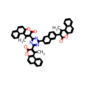 Cc1c(-c2ccc3cc(-c4nc(-c5c(C)c6c(ccc7ccccc76)oc5=O)nc(-c5c(C)c6c(ccc7ccccc76)oc5=O)n4)ccc3c2)c(=O)oc2ccc3ccccc3c12